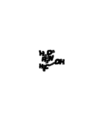 CO.N.O